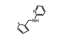 [c]1ccc(NCc2cccs2)nc1